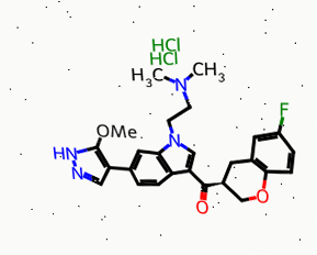 COc1[nH]ncc1-c1ccc2c(C(=O)[C@@H]3COc4ccc(F)cc4C3)cn(CCN(C)C)c2c1.Cl.Cl